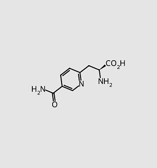 NC(=O)c1ccc(C[C@H](N)C(=O)O)nc1